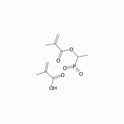 C=C(C)C(=O)O.C=C(C)C(=O)OC(C)P(=O)=O